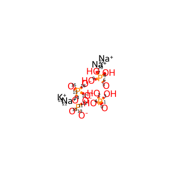 O=P(O)(O)O.O=P(O)(O)O.O=P([O-])([O-])OP(=O)([O-])[O-].[K+].[Na+].[Na+].[Na+]